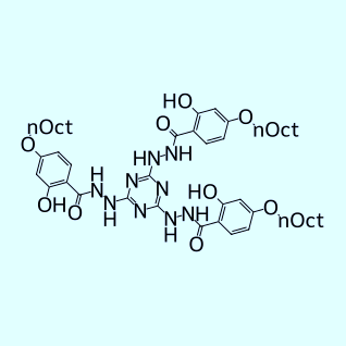 CCCCCCCCOc1ccc(C(=O)NNc2nc(NNC(=O)c3ccc(OCCCCCCCC)cc3O)nc(NNC(=O)c3ccc(OCCCCCCCC)cc3O)n2)c(O)c1